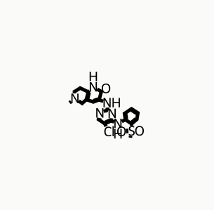 CN1CCc2[nH]c(=O)c(Nc3ncc(Cl)c(Nc4ccccc4S(C)(=O)=O)n3)cc2C1